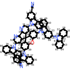 N#Cc1ccc2c(c1)c1ccccc1n2-c1cnc2c(c1)C1(c3ccc(-n4c5ccccc5c5ccccc54)cc3Oc3cc(-n4c5ccccc5c5cc(-n6c7ccccc7c7ccccc76)ccc54)ccc31)c1cc(-n3c4ccccc4c4cc(C#N)ccc43)cnc1-2